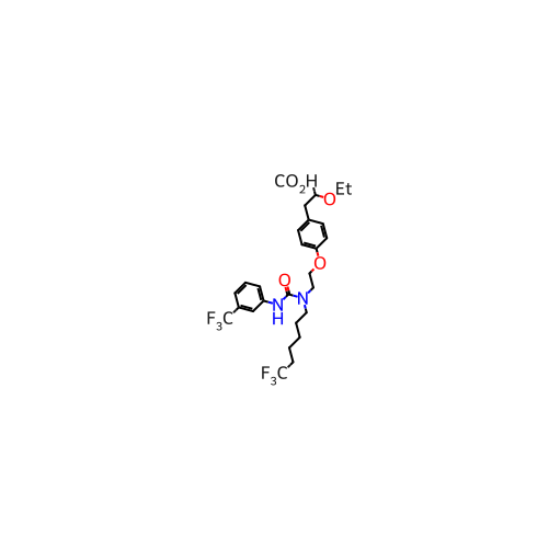 CCOC(Cc1ccc(OCCN(CCCCCC(F)(F)F)C(=O)Nc2cccc(C(F)(F)F)c2)cc1)C(=O)O